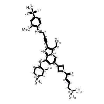 COc1cc(S(C)(=O)=O)ccc1NCC#Cc1nc2c(N[C@@H]3CCN(C)C[C@@H]3F)cc(C3CN(C(=O)/C=C/CN(C)C)C3)cn2c1CC(F)(F)F